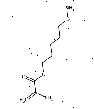 C=C(C)C(=O)OCCCCCO[SiH3]